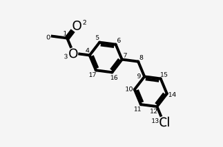 CC(=O)Oc1ccc(Cc2ccc(Cl)cc2)cc1